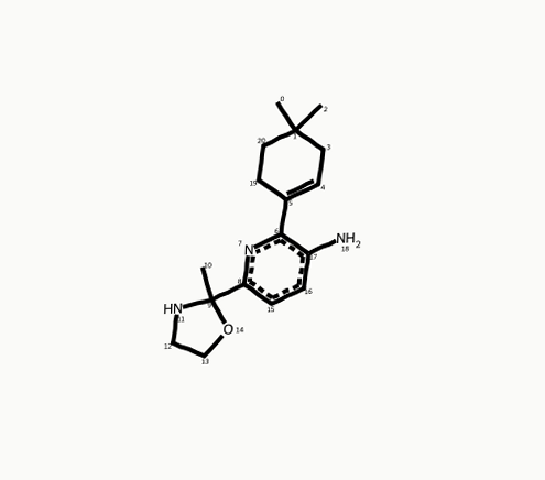 CC1(C)CC=C(c2nc(C3(C)NCCO3)ccc2N)CC1